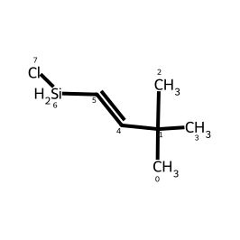 CC(C)(C)C=C[SiH2]Cl